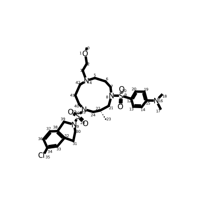 COCCN1CCCN(S(=O)(=O)c2ccc(N(C)C)cc2)C[C@H](C)CN(S(=O)(=O)N2CCc3cc(Cl)ccc3C2)CCC1